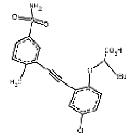 Cc1ccc(S(N)(=O)=O)cc1C#Cc1cc(Cl)ccc1OC(C(=O)O)C(C)(C)C